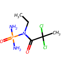 CCN(C(=O)C(C)(Cl)Cl)P(N)(N)=O